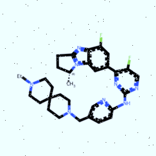 CCN1CCC2(CC1)CCN(Cc1ccc(Nc3ncc(F)c(-c4cc(F)c5nc6n(c5c4)[C@H](C)CC6)n3)nc1)CC2